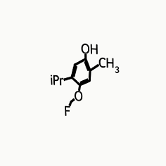 Cc1cc(OCF)c(C(C)C)cc1O